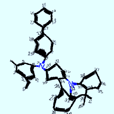 Cc1cc(C)cc(N(c2ccc(-c3ccccc3)cc2)c2ccc3c(c2)c2cccc4c2n3C2=C(CCC=C2)C4(C)C)c1